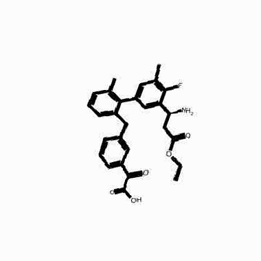 CCOC(=O)C[C@H](N)c1cc(-c2c(C)cccc2Cc2cccc(C(=O)C(=O)O)c2)cc(C)c1F